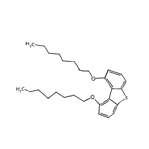 CCCCCCCCOc1cccc2sc3cccc(OCCCCCCCC)c3c12